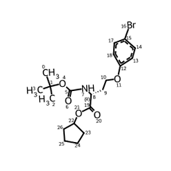 CC(C)(C)OC(=O)N[C@H](CCOc1ccc(Br)cc1)C(=O)OC1CCCC1